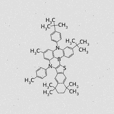 Cc1ccc(N2c3cc(C)cc4c3B(c3ccc(C(C)(C)C)cc3N4c3ccc(C(C)(C)C)cc3)c3sc4cc5c(cc4c32)C(C)(C)CCC5(C)C)cc1